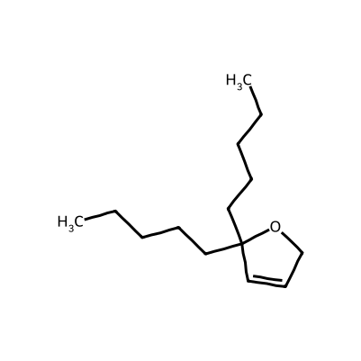 CCCCCC1(CCCCC)C=CCO1